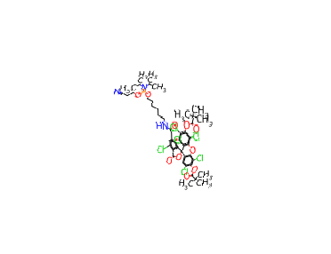 CC(C)N(C(C)C)P(OCCC#N)OCCCCCCNC(=O)c1cc(Cl)c2c(c1Cl)C1(OC2=O)c2cc(Cl)c(OC(=O)C(C)(C)C)c(Cl)c2Oc2c1cc(Cl)c(OC(=O)C(C)(C)C)c2Cl